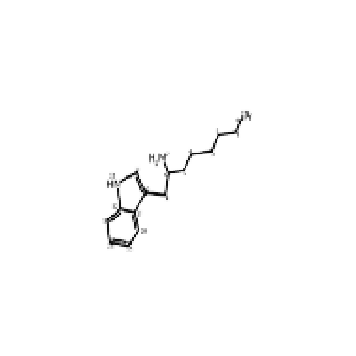 CC(C)CCCCCC(N)Cc1c[nH]c2ccccc12